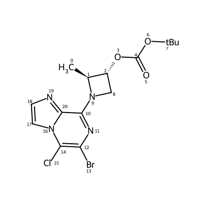 C[C@H]1[C@H](OC(=O)OC(C)(C)C)CN1c1nc(Br)c(Cl)n2ccnc12